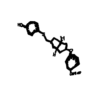 COc1ccc(O[C@H]2C[C@@H]3CN(CSc4ccc(O)cc4)C[C@@H]3C2)cc1